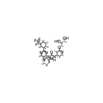 O=C(Nc1ccnc(OC[C@H](O)CO)c1)N1c2nc(-c3cccc(C(F)(F)F)c3)ncc2N2CCC[C@H]1C2